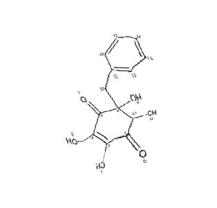 O=C1C(O)=C(O)C(=O)C(O)(Cc2ccccc2)C1O